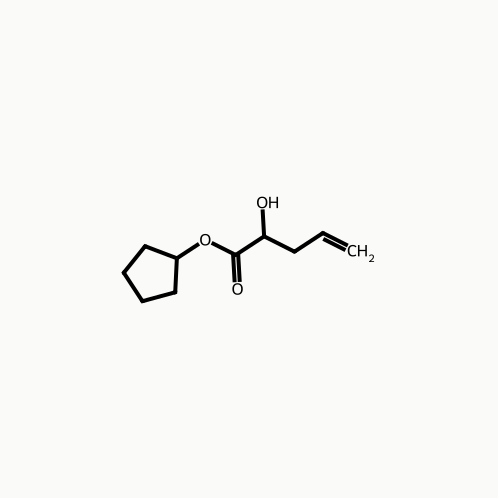 C=CCC(O)C(=O)OC1CCCC1